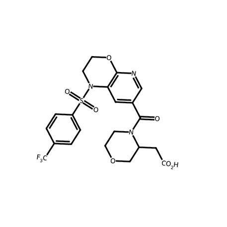 O=C(O)CC1COCCN1C(=O)c1cnc2c(c1)N(S(=O)(=O)c1ccc(C(F)(F)F)cc1)CCO2